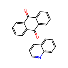 O=C1c2ccccc2C(=O)c2ccccc21.c1ccc2ncccc2c1